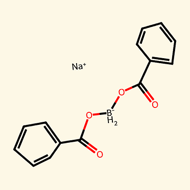 O=C(O[BH2-]OC(=O)c1ccccc1)c1ccccc1.[Na+]